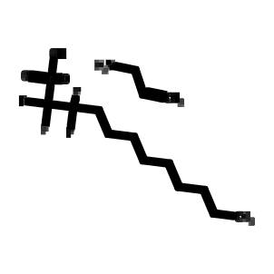 C=CCN.CCCCCCCCCC(F)(F)C(F)(F)S(=O)(=O)O